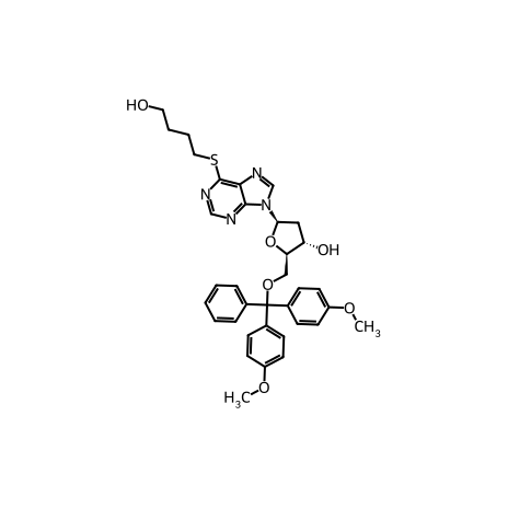 COc1ccc(C(OC[C@H]2O[C@@H](n3cnc4c(SCCCCO)ncnc43)C[C@@H]2O)(c2ccccc2)c2ccc(OC)cc2)cc1